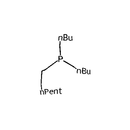 CCCCCCP(CCCC)CCCC